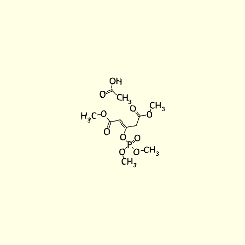 CC(=O)O.COC(=O)/C=C(/CC(=O)OC)OP(=O)(OC)OC